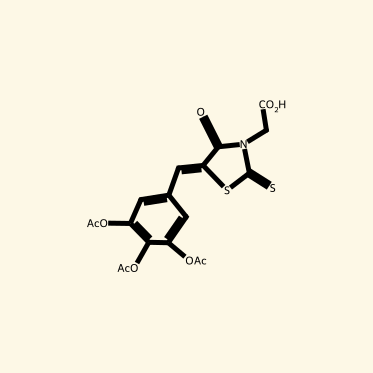 CC(=O)Oc1cc(/C=C2\SC(=S)N(CC(=O)O)C2=O)cc(OC(C)=O)c1OC(C)=O